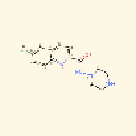 O=C(NN1CCNCC1)c1ccc2cc(Cl)ccc2n1